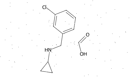 Clc1cccc(CNC2CC2)c1.O=CO